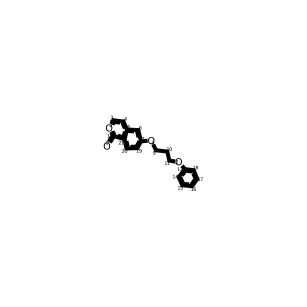 O=c1o[c]cc2cc(OCCCOc3ccccc3)ccc12